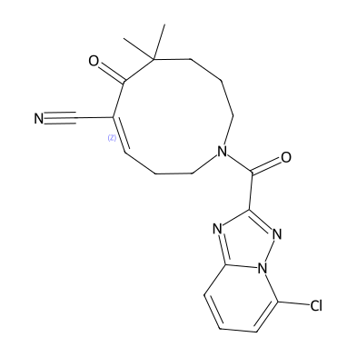 CC1(C)CCCN(C(=O)c2nc3cccc(Cl)n3n2)CC/C=C(/C#N)C1=O